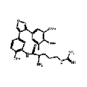 COc1ccc(-c2conc2-c2cc(C)c(OC)c(OC)c2)cc1NC(=O)C(N)CCCNC(=N)N